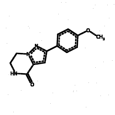 COc1ccc(-c2cc3n(n2)CCNC3=O)cc1